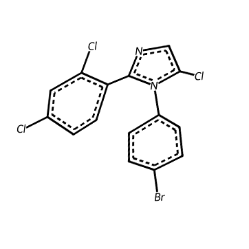 Clc1ccc(-c2ncc(Cl)n2-c2ccc(Br)cc2)c(Cl)c1